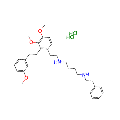 COc1cccc(CCc2c(CCNCCCCNCCc3ccccc3)ccc(OC)c2OC)c1.Cl.Cl